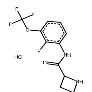 Cl.O=C(Nc1cccc(OC(F)(F)F)c1F)C1CCN1